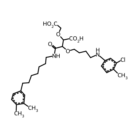 Cc1ccc(CCCCCCCNC(=O)C(OCCCCNc2ccc(C)c(Cl)c2)C(OCC(=O)O)C(=O)O)cc1C